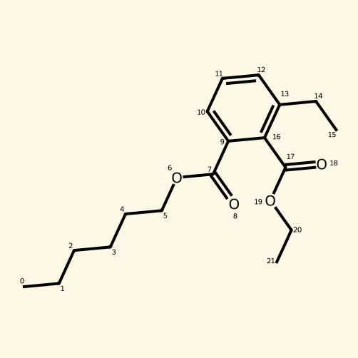 CCCCCCOC(=O)c1cccc(CC)c1C(=O)OCC